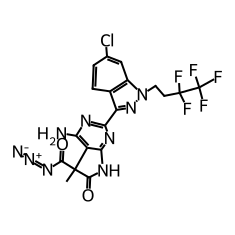 CC1(C(=O)N=[N+]=[N-])C(=O)Nc2nc(-c3nn(CCC(F)(F)C(F)(F)F)c4cc(Cl)ccc34)nc(N)c21